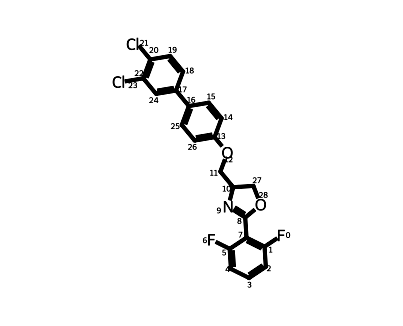 Fc1cccc(F)c1C1=NC(COc2ccc(-c3ccc(Cl)c(Cl)c3)cc2)CO1